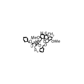 COc1ccc2c(c1CNC(=O)[C@H](C)NC(=O)OCc1ccccc1)Oc1c(ccc(OC)c1CC(=O)OCc1ccccc1)C2(C)C